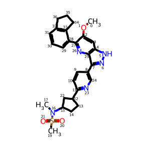 COc1cc2[nH]nc(-c3ccc(C4CCC(N(C)S(C)(=O)=O)C4)nc3)c2nc1-c1cccc2c1CCC2